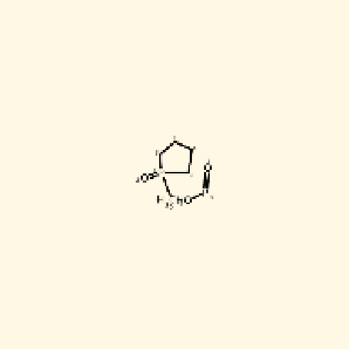 CP1(=O)CCCC1.O=PO